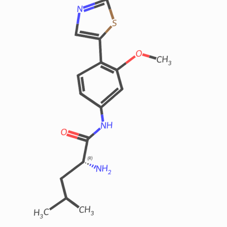 COc1cc(NC(=O)[C@H](N)CC(C)C)ccc1-c1cncs1